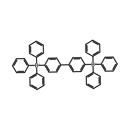 c1ccc([B-](c2ccccc2)(c2ccccc2)c2ccc(-c3ccc([B-](c4ccccc4)(c4ccccc4)c4ccccc4)cc3)cc2)cc1